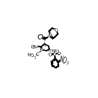 CC(C)(C)C1[C@H](C(=O)N2CCOCC2)C[C@H](NS(=O)(=O)c2ccccc2[N+](=O)[O-])CN1C(=O)O